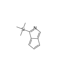 C[Si](C)(C)C1=NC=C2C=CC=C21